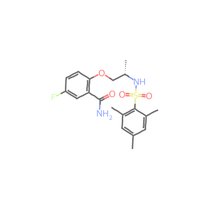 Cc1cc(C)c(S(=O)(=O)N[C@@H](C)COc2ccc(F)cc2C(N)=O)c(C)c1